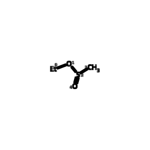 CCOS(C)=O